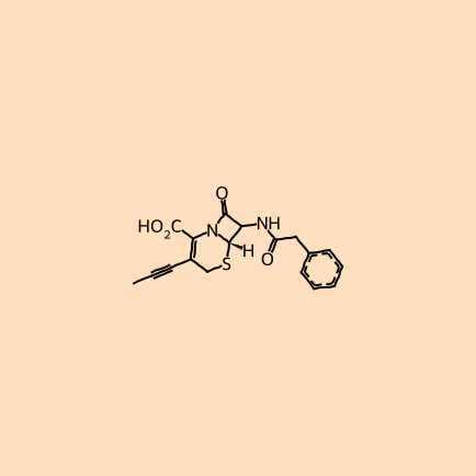 CC#CC1=C(C(=O)O)N2C(=O)C(NC(=O)Cc3ccccc3)[C@@H]2SC1